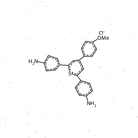 COc1ccc(-c2cc(-c3ccc(N)cc3)[s+]c(-c3ccc(N)cc3)c2)cc1.[Cl-]